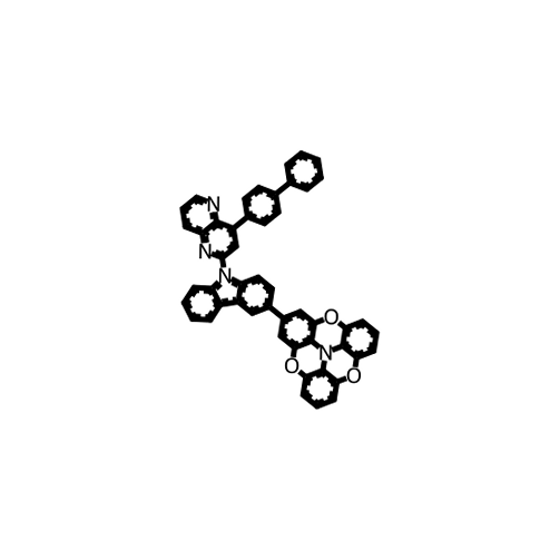 c1ccc(-c2ccc(-c3cc(-n4c5ccccc5c5cc(-c6cc7c8c(c6)Oc6cccc9c6N8c6c(cccc6O7)O9)ccc54)nc4cccnc34)cc2)cc1